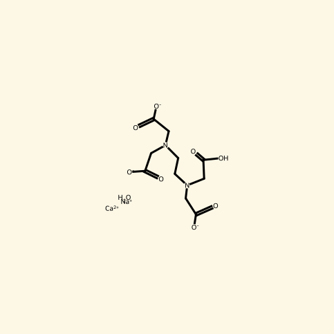 O.O=C([O-])CN(CCN(CC(=O)[O-])CC(=O)O)CC(=O)[O-].[Ca+2].[Na+]